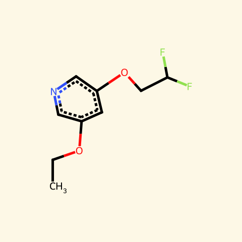 CCOc1cncc(OCC(F)F)c1